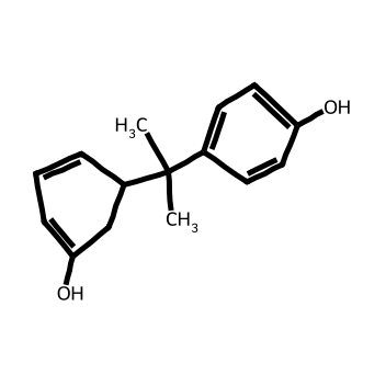 CC(C)(c1ccc(O)cc1)C1C=CC=C(O)C1